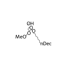 CCCCCCCCCCCCCCCCCO[C@@H]1O[C@@H](CO)C[C@H]1OCCOC